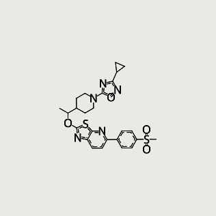 CC(Oc1nc2ccc(-c3ccc(S(C)(=O)=O)cc3)nc2s1)C1CCN(c2nc(C3CC3)no2)CC1